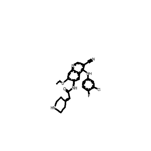 CCOc1cc2ncc(C#N)c(Nc3ccc(F)c(Cl)c3)c2cc1NC(=O)C=C1CCNCC1